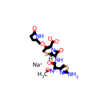 CO/N=C(\C(=O)N[C@@H]1C(=O)N2C(C(=O)[O-])=C(OCC3CCC(=O)N3)CS[C@@H]12)c1csc(N)n1.[Na+]